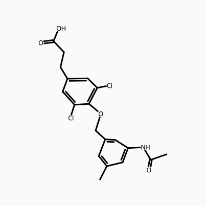 CC(=O)Nc1cc(C)cc(COc2c(Cl)cc(CCC(=O)O)cc2Cl)c1